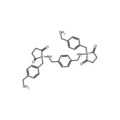 NCc1ccc(C[N+]2(NCc3ccc(CN[N+]4(Cc5ccc(CN)cc5)C(=O)CCC4=O)cc3)C(=O)CCC2=O)cc1